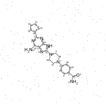 NC(=O)c1ccc(N2CCN(c3nc4c(N)nc(-c5cccs5)nc4[nH]3)CC2)cc1